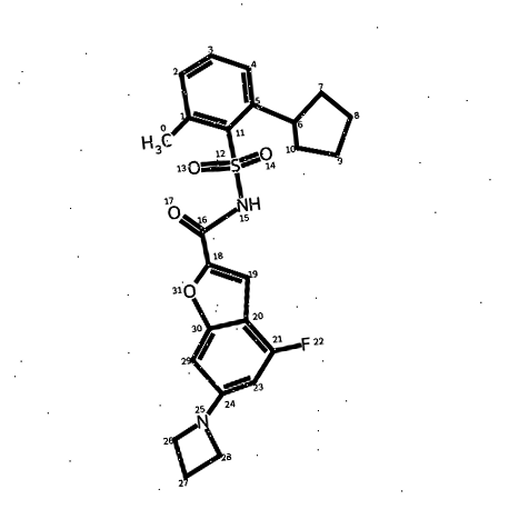 Cc1cccc(C2CCCC2)c1S(=O)(=O)NC(=O)c1cc2c(F)cc(N3CCC3)cc2o1